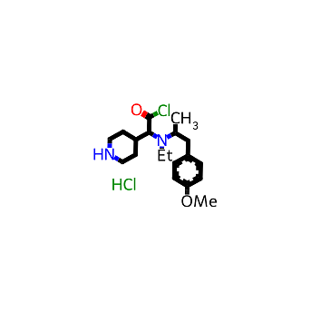 CCN(C(C)Cc1ccc(OC)cc1)C(C(=O)Cl)C1CCNCC1.Cl